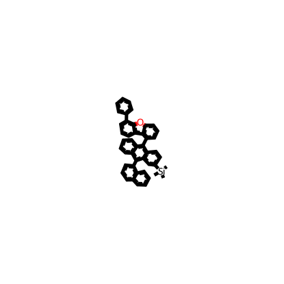 C[Si](C)(C)c1ccc2c(-c3cccc4oc5c(-c6ccccc6)cccc5c34)c3ccccc3c(-c3cccc4ccccc34)c2c1